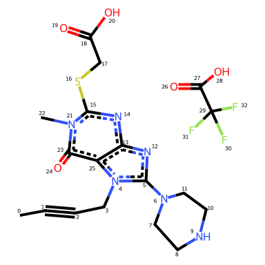 CC#CCn1c(N2CCNCC2)nc2nc(SCC(=O)O)n(C)c(=O)c21.O=C(O)C(F)(F)F